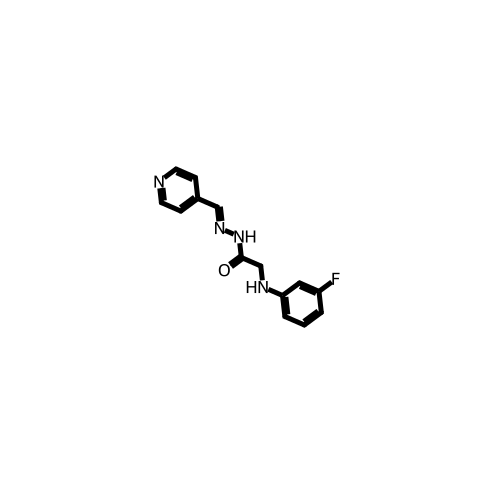 O=C(CNc1cccc(F)c1)N/N=C/c1ccncc1